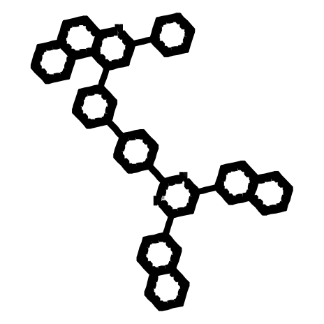 c1ccc(-c2cc(-c3cccc(-c4ccc(-c5nc(-c6ccc7ccccc7c6)cc(-c6ccc7ccccc7c6)n5)cc4)c3)c3c(ccc4ccccc43)n2)cc1